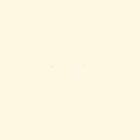 C1=CC2c3cc(N(c4ccc(-c5ccccc5)cc4)c4ccc(-c5ccccc5)cc4)ccc3C3(c4ccccc4Oc4ccccc43)C2C=C1